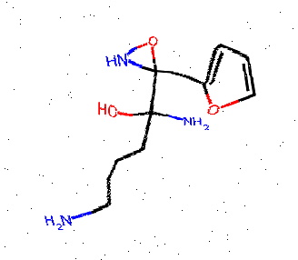 NCCCC(N)(O)C1(c2ccco2)NO1